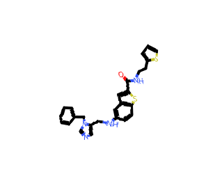 O=C(NCCc1cccs1)c1cc2cc(NCc3cncn3Cc3ccccc3)ccc2s1